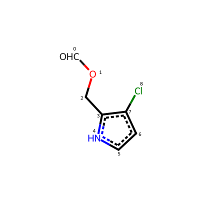 O=COCc1[nH]ccc1Cl